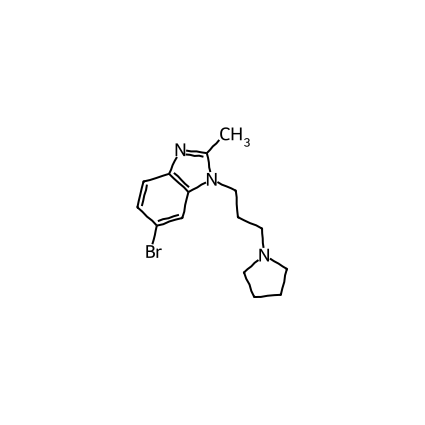 Cc1nc2ccc(Br)cc2n1CCCN1CCCC1